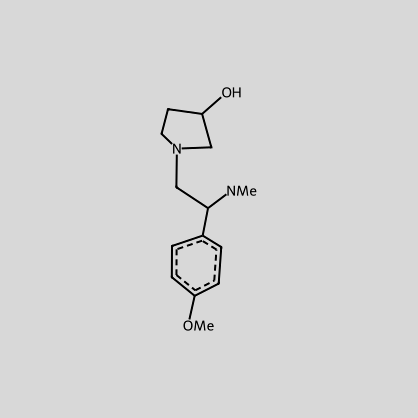 CNC(CN1CCC(O)C1)c1ccc(OC)cc1